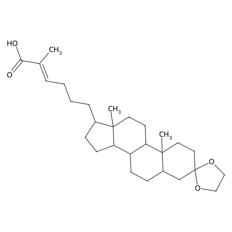 C/C(=C\CCCC1CCC2C3CCC4CC5(CCC4(C)C3CCC12C)OCCO5)C(=O)O